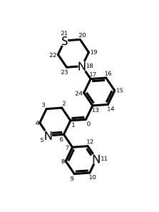 C(=C1/CCCN=C1c1cccnc1)/c1cccc(N2CCSCC2)c1